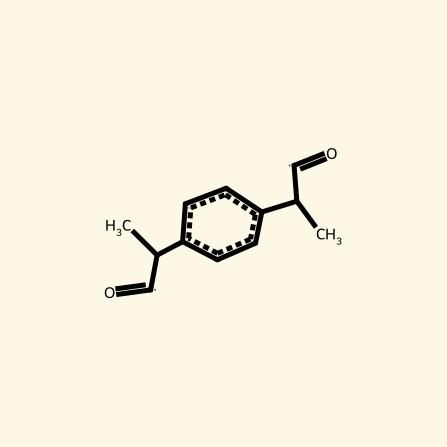 CC([C]=O)c1ccc(C(C)[C]=O)cc1